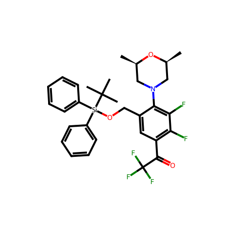 C[C@@H]1CN(c2c(CO[Si](c3ccccc3)(c3ccccc3)C(C)(C)C)cc(C(=O)C(F)(F)F)c(F)c2F)C[C@H](C)O1